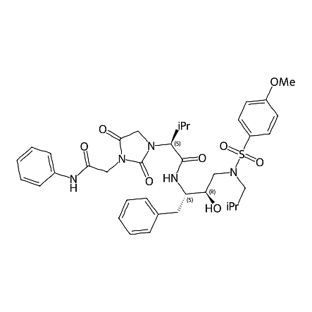 COc1ccc(S(=O)(=O)N(CC(C)C)C[C@@H](O)[C@H](Cc2ccccc2)NC(=O)[C@H](C(C)C)N2CC(=O)N(CC(=O)Nc3ccccc3)C2=O)cc1